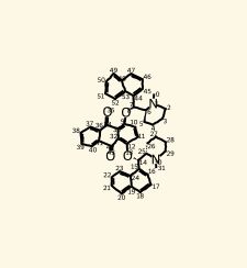 CN1CCCC[C@H]1[C@@H](Oc1ccc(O[C@@H](c2cccc3ccccc23)[C@@H]2CCCCN2C)c2c1C(=O)c1ccccc1C2=O)c1cccc2ccccc12